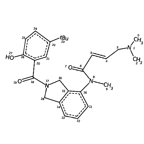 CN(C)C/C=C/C(=O)N(C)c1cccc2c1CN(C(=O)c1cc(C(C)(C)C)ccc1O)C2